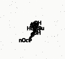 CCCCCCCCSCCCOCC(O)CNC1C(O)C(OC(C)(C)C)C(CO)OC1C(C)(C)C